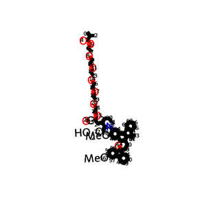 C=C(C)C(=O)OCCOCCOCCOCCOCCOCCOC(=C=O)CC1CCCN(c2cc3c4c(c5c(c3cc2OC)OC(c2ccccc2)(c2ccc(OC)cc2)C=C5)C(C)(C)c2ccccc2-4)C1=CC(=O)O